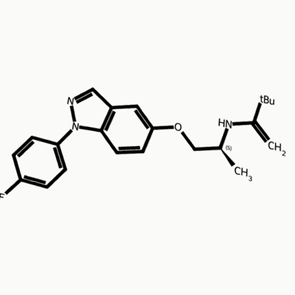 C=C(N[C@@H](C)COc1ccc2c(cnn2-c2ccc(F)cc2)c1)C(C)(C)C